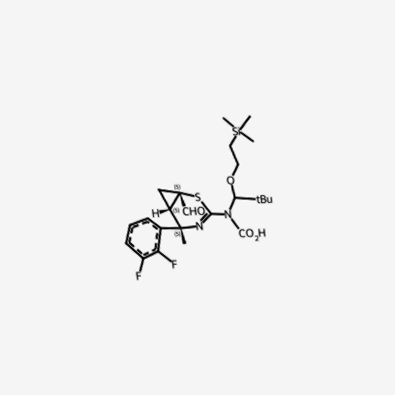 CC(C)(C)C(OCC[Si](C)(C)C)N(C(=O)O)C1=N[C@](C)(c2cccc(F)c2F)[C@@H]2C[C@]2(C=O)S1